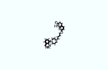 O=C1CCc2ccc(OCCCCN3CCCN(c4cccc5cncnc45)CC3)nc2N1